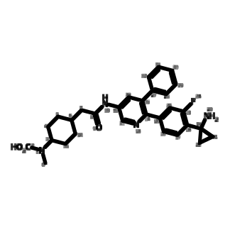 CN(C(=O)O)C1CCC(CC(=O)Nc2cnc(-c3ccc(C4(N)CC4)c(F)c3)c(-c3ccccc3)c2)CC1